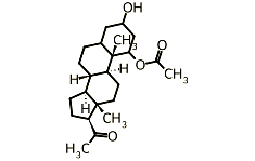 CC(=O)OC1CC(O)CC2CC[C@@H]3[C@H](CC[C@]4(C)[C@@H](C(C)=O)CC[C@@H]34)[C@]21C